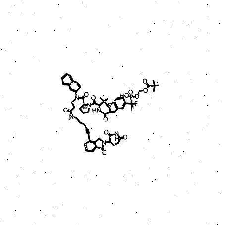 CN(CCCC#Cc1cccc2c1CN(C1CCC(=O)NC1=O)C2=O)C(=O)CCN(C(=O)[C@@H]1CCCN1C(=O)C(NC(=O)c1cc2cc(C(F)(F)P(=O)(O)OCOC(=O)C(C)(C)C)ccc2s1)C(C)(C)C)c1ccc2ccccc2c1